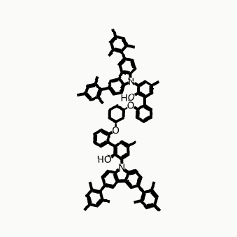 Cc1cc(C)c(-c2ccc3c(c2)c2cc(-c4c(C)cc(C)cc4C)ccc2n3-c2cc(C)cc(-c3ccccc3O[C@@H]3CCC[C@H](Oc4ccccc4-c4cc(C)cc(-n5c6ccc(-c7c(C)cc(C)cc7C)cc6c6cc(-c7c(C)cc(C)cc7C)ccc65)c4O)C3)c2O)c(C)c1